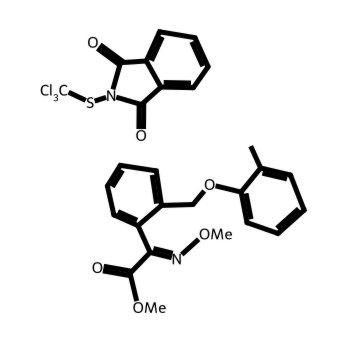 CO/N=C(/C(=O)OC)c1ccccc1COc1ccccc1C.O=C1c2ccccc2C(=O)N1SC(Cl)(Cl)Cl